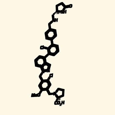 COc1cc(Cn2ncc3c(-c4cccc(-c5ccc(CNC[C@@H]6CCC(=O)N6)cc5)c4Cl)cccc32)c(Cl)cc1CN1CCC[C@H]1C(=O)O